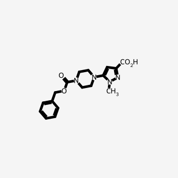 Cn1nc(C(=O)O)cc1N1CCN(C(=O)OCc2ccccc2)CC1